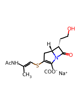 CC(=O)NC(C)=CSC1=C(C(=O)[O-])N2C(=O)[C@@H](CCO)[C@H]2C1.[Na+]